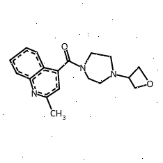 Cc1cc(C(=O)N2CCN(C3COC3)CC2)c2ccccc2n1